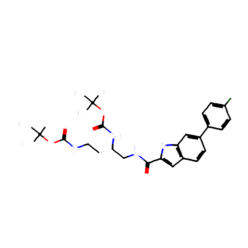 CC(C)(C)OC(=O)NCC[C@@H](CNC(=O)c1cc2ccc(-c3ccc(F)cc3)cc2[nH]1)NC(=O)OC(C)(C)C